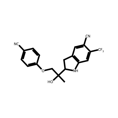 CC(O)(COc1ccc(C#N)cc1)C1Cc2cc(C#N)c(C(F)(F)F)cc2N1